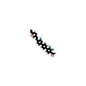 C=CC1CCC(/C=C/c2ccc(-c3ccc(-c4ccc(C5CO5)c(F)c4F)cc3)cc2F)CO1